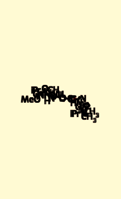 COC(=O)N[C@H](C(=O)N[C@@H](C)c1ncc(-c2ccc(C34CCC(c5cnc([C@@H]6CCCN6C(=O)[C@H](C(C)C)N(C)C)[nH]5)(CC3)CC4)cc2)[nH]1)C(C)C